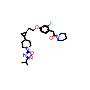 CC(C)c1noc(N2CCC(C3C[C@H]3CCOc3ccc(CC(=O)N4CCCCC4)c(F)c3)CC2)n1